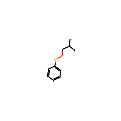 CC(C)COPc1ccccc1